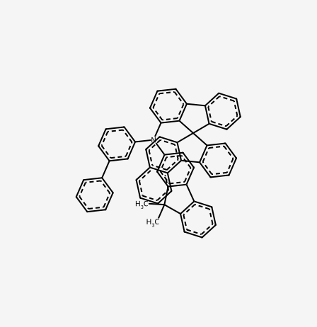 CC1(C)c2ccccc2-c2ccc(N(c3cccc(-c4ccccc4)c3)c3cccc4c3C3(c5ccccc5-4)c4ccccc4-c4c3ccc3ccccc43)cc21